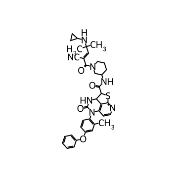 Cc1cc(Oc2ccccc2)ccc1N1C(=O)NC2c3c1ccnc3SC2C(=O)NC1CCCN(C(=O)C(C#N)=CC(C)(C)NC2CC2)C1